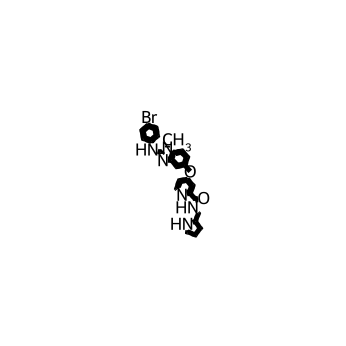 Cn1c(Nc2ccc(Br)cc2)nc2cc(Oc3ccnc(C(=O)NCC4CCCN4)c3)ccc21